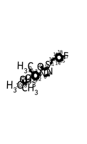 CCc1cc(-n2ccnc(SCCc3ccc(F)cc3)c2=O)ccc1OCC(C)(C)C